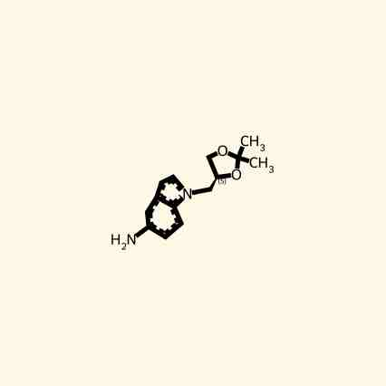 CC1(C)OC[C@H](Cn2ccc3cc(N)ccc32)O1